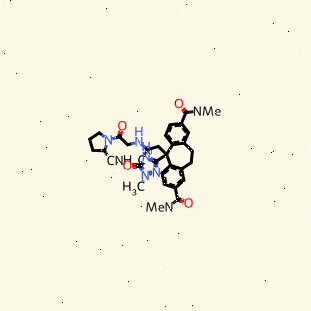 CNC(=O)c1ccc2c(c1)CCc1cc(C(=O)NC)ccc1C2(C[C@@H](C)NCC(=O)N1CCCC1C#N)c1nn(C)c(=O)[nH]1